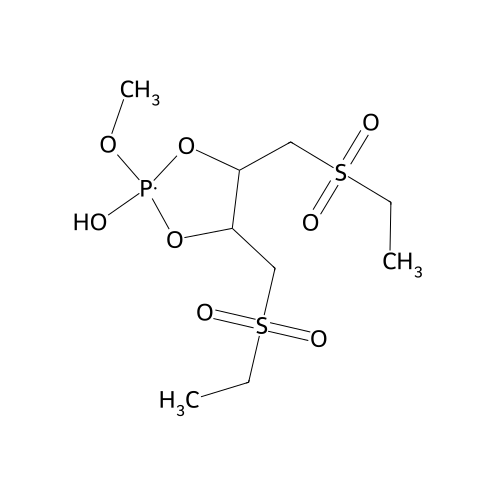 CCS(=O)(=O)CC1O[P](O)(OC)OC1CS(=O)(=O)CC